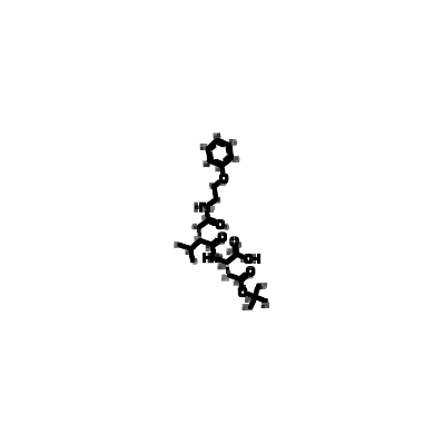 CC(C)[C@H](CC(=O)NCCOc1ccccc1)C(=O)N[C@@H](CC(=O)OC(C)(C)C)C(=O)O